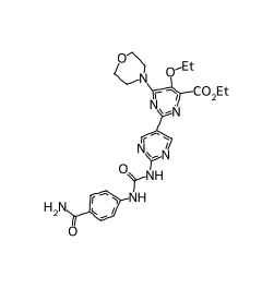 CCOC(=O)c1nc(-c2cnc(NC(=O)Nc3ccc(C(N)=O)cc3)nc2)nc(N2CCOCC2)c1OCC